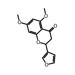 COc1cc(OC)c2c(c1)OC(c1ccoc1)CC2=O